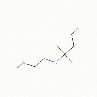 CC(C)(CCO)NCCC[O]